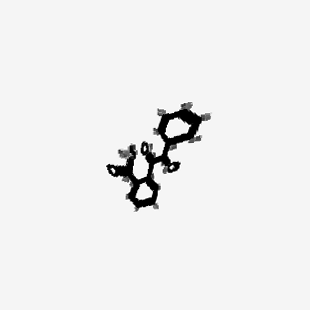 O=C(C(=O)c1ccccc1C(=O)[S])c1ccccc1